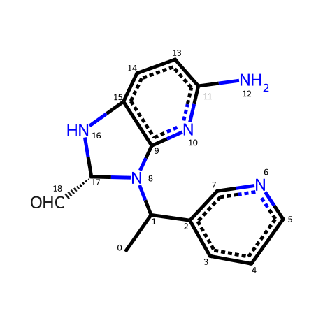 CC(c1cccnc1)N1c2nc(N)ccc2N[C@H]1C=O